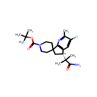 Cc1nc2c(cc1Cl)[C@H](C(C)(C)C(N)=O)CC21CCN(C(=O)OC(C)(C)C)CC1